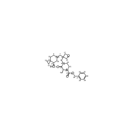 C[C@H]1C(=O)N(CC2(CN3CCC4(CC4)[C@H](O)C3)COC2)CCN1C(=O)OCc1ccccc1